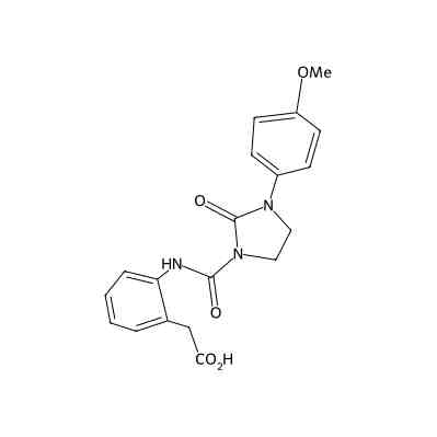 COc1ccc(N2CCN(C(=O)Nc3ccccc3CC(=O)O)C2=O)cc1